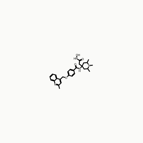 Cc1cc(COc2ccc(C(=O)NC3(CC(=O)NO)CC(C)N(C)C(C)C3)cc2)c2ccccc2n1